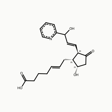 O=C(O)CCCC=CC[C@H]1[C@@H](O)CC(=O)[C@@H]1C=CC(O)c1ccccn1